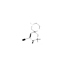 CN1CCOC2(C=C(C#N)C(=O)C(C)(C)C2)C1